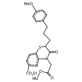 CCOC(=O)c1ccc2c(c1)N(CC(=O)OC(C)(C)C)C(=O)C(CCCc1ccc(OC)cc1)S2